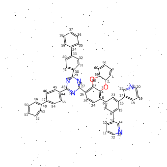 C1=CC2Oc3c(-c4cc(-c5cccnc5)cc(-c5cccnc5)c4)ccc(-c4nc(-c5ccc(-c6ccccc6)cc5)nc(-c5ccc(-c6ccccc6)cc5)n4)c3OC2C=C1